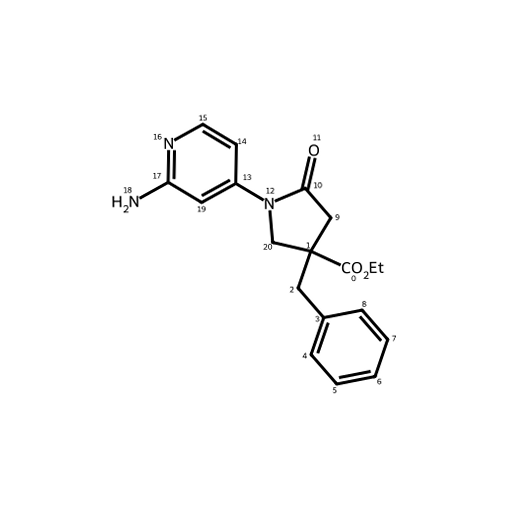 CCOC(=O)C1(Cc2ccccc2)CC(=O)N(c2ccnc(N)c2)C1